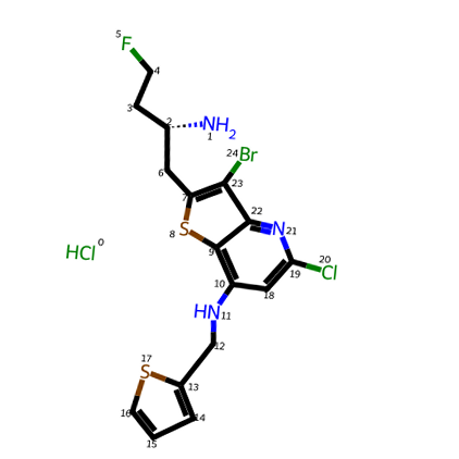 Cl.N[C@@H](CCF)Cc1sc2c(NCc3cccs3)cc(Cl)nc2c1Br